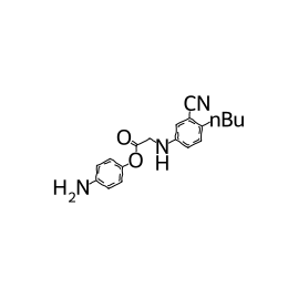 CCCCc1ccc(NCC(=O)Oc2ccc(N)cc2)cc1C#N